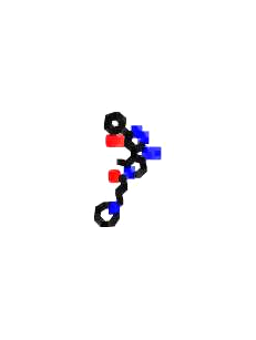 CC1c2c([nH]c3nnc(-c4ccccc4O)cc23)CCN1C(=O)C=CCN1CCCCCC1